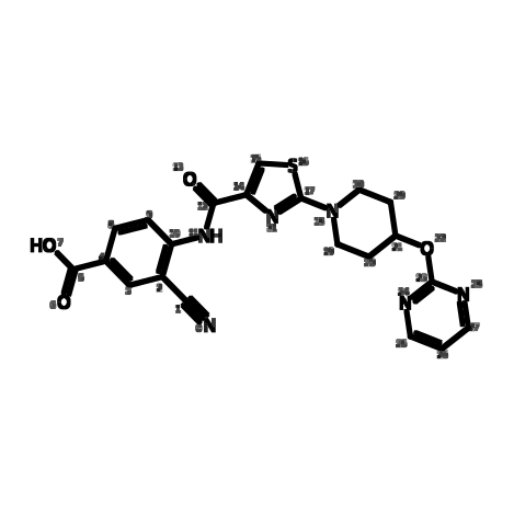 N#Cc1cc(C(=O)O)ccc1NC(=O)c1csc(N2CCC(Oc3ncccn3)CC2)n1